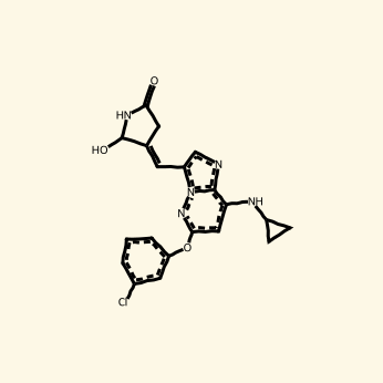 O=C1C/C(=C\c2cnc3c(NC4CC4)cc(Oc4cccc(Cl)c4)nn23)C(O)N1